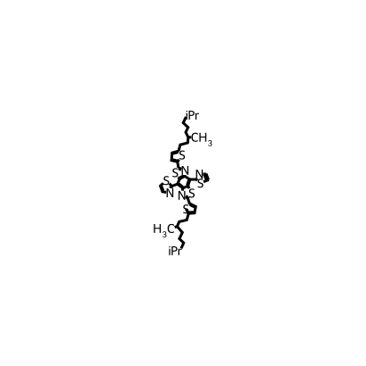 CC(C)CCCC(C)CCc1ccc(-c2nc3c(-c4nccs4)c4sc(-c5ccc(CCC(C)CCCC(C)C)s5)nc4c(-c4nc#cs4)c3s2)s1